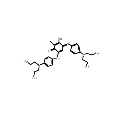 CC1=C(O)C(=Nc2ccc(N(CCO)CCO)cc2)C=C(Nc2ccc(N(CCO)CCO)cc2)C1=O